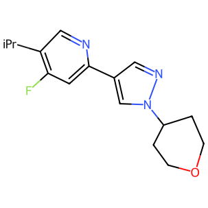 CC(C)c1cnc(-c2cnn(C3CCOCC3)c2)cc1F